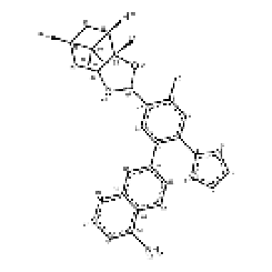 Cc1cc(-c2nccs2)c(-c2ccc3c(N)cnnc3c2)cc1B1OC2C[C@@H]3C[C@@H](C3(C)C)[C@]2(C)O1